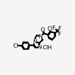 Cl.O=C(c1cccc(C(F)(F)F)c1Cl)N1CCn2c(-c3ccc(Cl)cc3)cnc2C1